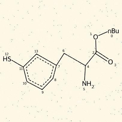 CCCCOC(=O)C(N)Cc1cccc(S)c1